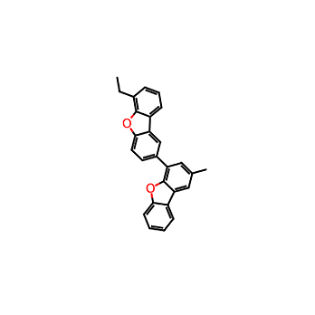 CCc1cccc2c1oc1ccc(-c3cc(C)cc4c3oc3ccccc34)cc12